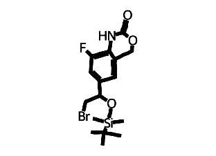 CC(C)(C)[Si](C)(C)OC(CBr)c1cc(F)c2c(c1)COC(=O)N2